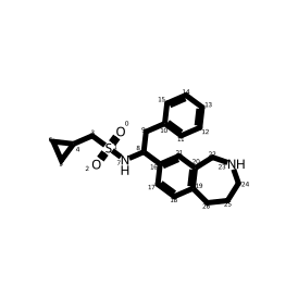 O=S(=O)(CC1CC1)NC(Cc1ccccc1)c1ccc2c(c1)CNCCC2